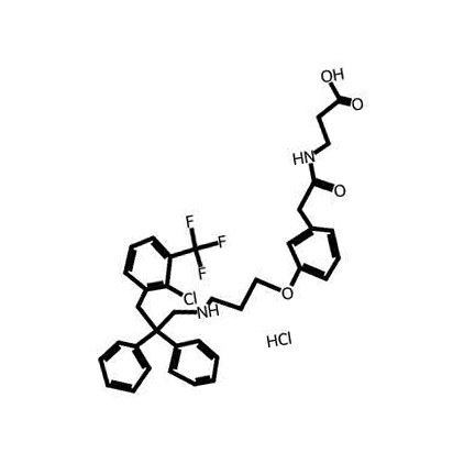 Cl.O=C(O)CCNC(=O)Cc1cccc(OCCCNCC(Cc2cccc(C(F)(F)F)c2Cl)(c2ccccc2)c2ccccc2)c1